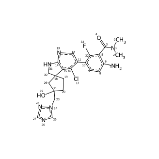 CN(C)C(=O)c1c(N)ccc(-c2cnc3c(c2Cl)C2(CCC(O)(Cn4cncn4)C2)CN3)c1F